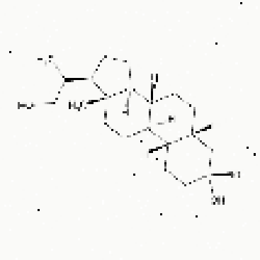 CC[C@@]1(O)CC[C@H]2[C@H](CC[C@@H]3[C@@H]2CC[C@]2(C)[C@@H](C(C)CO)CC[C@@H]32)C1